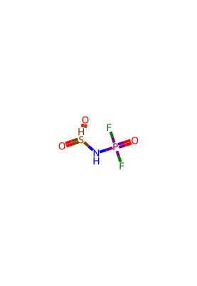 O=[SH](=O)NP(=O)(F)F